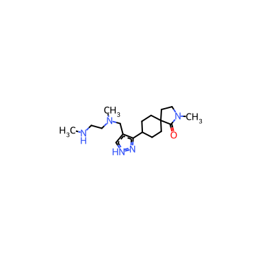 CNCCN(C)Cc1c[nH]nc1C1CCC2(CC1)CCN(C)C2=O